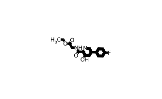 CCOC(=O)CNC(=O)c1ncc(-c2ccc(F)cc2)cc1O